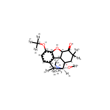 [2H]O[C@@]12CC([2H])([2H])C(=O)C3Oc4c(OC([2H])([2H])[2H])ccc5c4[C@@]31CCN(C)[C@@H]2C5([2H])[2H]